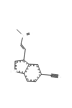 N#Cc1ccc2[nH]cc(/C=C/[N+](=O)[O-])c2c1